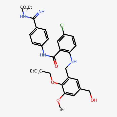 CCOC(=O)COc1c(CNc2ccc(Cl)cc2C(=O)Nc2ccc(C(=N)NC(=O)OCC)cc2)cc(CO)cc1OC(C)C